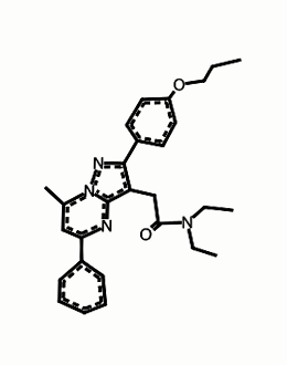 CCCOc1ccc(-c2nn3c(C)cc(-c4ccccc4)nc3c2CC(=O)N(CC)CC)cc1